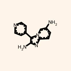 Nc1ccc2nc(N)c(-c3ccncc3)n2c1